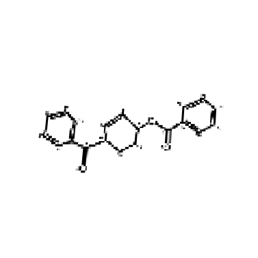 O=C(OC1C=CC(C(=O)c2ccccc2)CC1)c1ccccc1